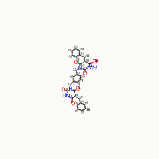 O=C1NC(=O)N(Cc2cccc(CN3C(=O)NC(=O)C(Cc4ccccc4)C3=O)c2)C(=O)C1Cc1ccccc1